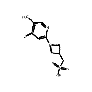 Cc1cnc(N2CC(CS(=O)(=O)O)C2)cc1Cl